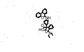 CCN(CC)C(=O)c1ccccc1C(CC)(C(=O)O)c1ccc(NC(=O)c2ccccc2-c2ccccc2)cc1